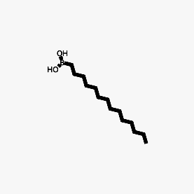 CCCCCCCCCCCCCCB(O)O